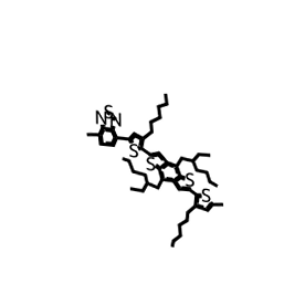 CCCCCCc1cc(C)sc1-c1cc2c(CC(CC)CCCC)c3sc(-c4sc(-c5ccc(C)c6nsnc56)cc4CCCCCC)cc3c(CC(CC)CCCC)c2s1